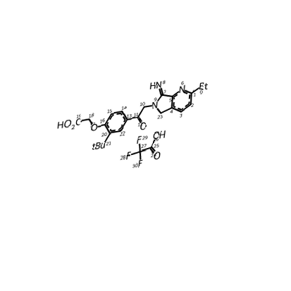 CCc1ccc2c(n1)C(=N)N(CC(=O)c1ccc(OCC(=O)O)c(C(C)(C)C)c1)C2.O=C(O)C(F)(F)F